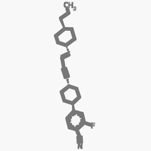 CCC[C@H]1CC[C@H](/C=C/C#C[C@H]2CC[C@H](c3ccc(C#N)c(F)c3)CC2)CC1